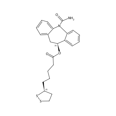 NC(=O)N1c2ccccc2C[C@H](OC(=O)CCCC[C@H]2CCSS2)c2ccccc21